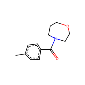 Cc1ccc(C(=O)N2CCCOCC2)cc1